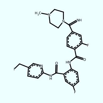 CN1CCN(C(=N)c2ccc(C(=O)Nc3ccc(F)cc3C(=O)Nc3ccc(CI)cn3)c(F)c2)CC1